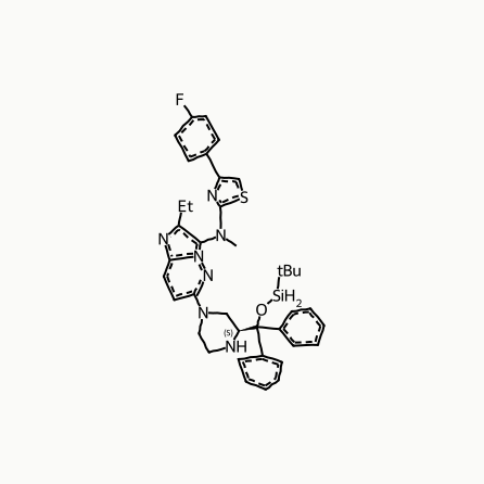 CCc1nc2ccc(N3CCN[C@H](C(O[SiH2]C(C)(C)C)(c4ccccc4)c4ccccc4)C3)nn2c1N(C)c1nc(-c2ccc(F)cc2)cs1